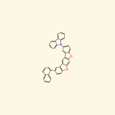 c1ccc2c(-c3ccc4oc5cc6oc7ccc(-n8c9ccccc9c9ccccc98)cc7c6cc5c4c3)cccc2c1